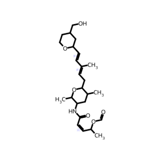 CC(/C=C/C1CC(CO)CCO1)=C\CC1OC(C)C(NC(=O)/C=C\C(C)OC=O)CC1C